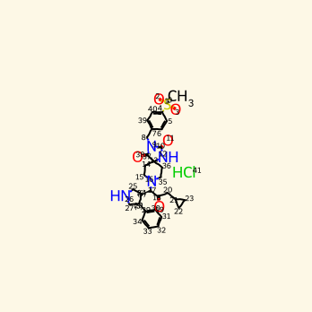 CS(=O)(=O)c1ccc(CN2C(=O)NC3(CCN(C(C(=O)CC4CC4)[C@@H]4CNC[C@@H]4c4ccccc4)CC3)C2=O)cc1.Cl